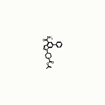 C=C(C)OC(=O)N1CCC(n2ncc3c(C(N)=O)cc(-c4ccccc4)cc32)CC1